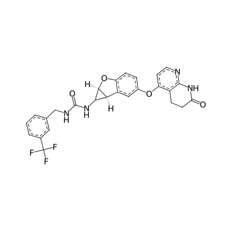 O=C1CCc2c(Oc3ccc4c(c3)[C@H]3C(NC(=O)NCc5cccc(C(F)(F)F)c5)[C@H]3O4)ccnc2N1